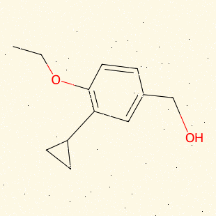 CCOc1ccc(CO)cc1C1CC1